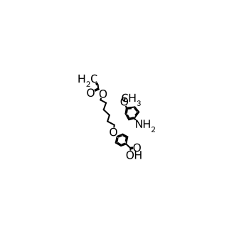 C=CC(=O)OCCCCCCOc1ccc(C(=O)O)cc1.COc1ccc(N)cc1